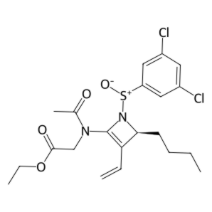 C=CC1=C(N(CC(=O)OCC)C(C)=O)N([S+]([O-])c2cc(Cl)cc(Cl)c2)[C@H]1CCCC